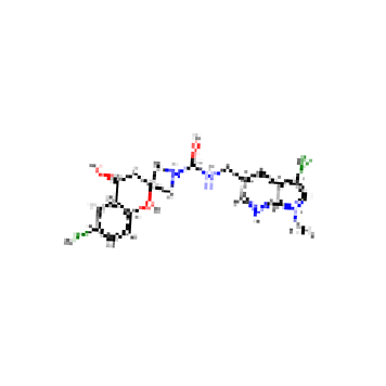 Cn1cc(Br)c2cc(CNC(=O)N3CC4(CC(=O)c5cc(F)ccc5O4)C3)cnc21